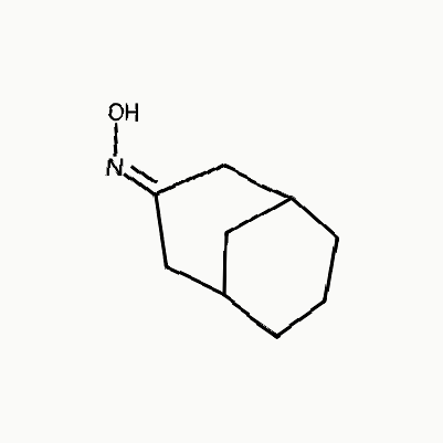 ON=C1CC2CCCC(C1)C2